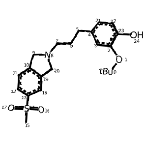 CC(C)(C)Oc1cc(CCCN2Cc3ccc(S(C)(=O)=O)cc3C2)ccc1O